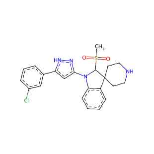 CS(=O)(=O)C1N(c2cc(-c3cccc(Cl)c3)[nH]n2)c2ccccc2C12CCNCC2